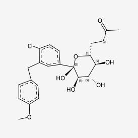 COc1ccc(Cc2cc([C@]3(O)O[C@H](CSC(C)=O)[C@@H](O)[C@H](O)[C@H]3O)ccc2Cl)cc1